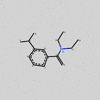 C=C(c1cccc(C(C)C)c1)N(CC)CC